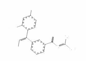 CCC/C=C(\c1cccc(C(=O)N=C(N)N)c1)c1ccc(F)cc1C